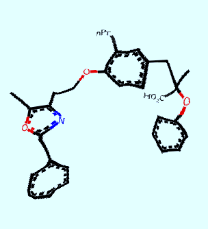 CCCc1cc(CC(C)(Oc2ccccc2)C(=O)O)ccc1OCCc1nc(-c2ccccc2)oc1C